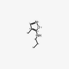 CCCNc1on[c]c1C